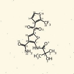 CC(C)(O)C(=O)Nc1sc(S(=O)(=O)c2ccsc2C(F)(F)F)cc1C(N)=O